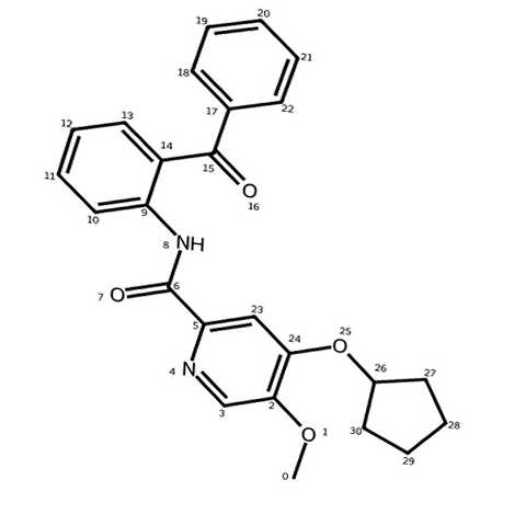 COc1cnc(C(=O)Nc2ccccc2C(=O)c2ccccc2)cc1OC1CCCC1